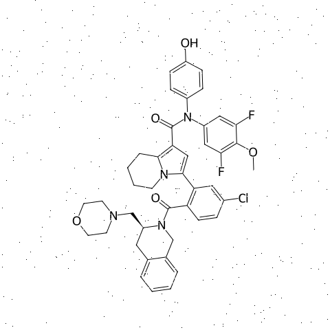 COc1c(F)cc(N(C(=O)c2cc(-c3cc(Cl)ccc3C(=O)N3Cc4ccccc4C[C@H]3CN3CCOCC3)n3c2CCCC3)c2ccc(O)cc2)cc1F